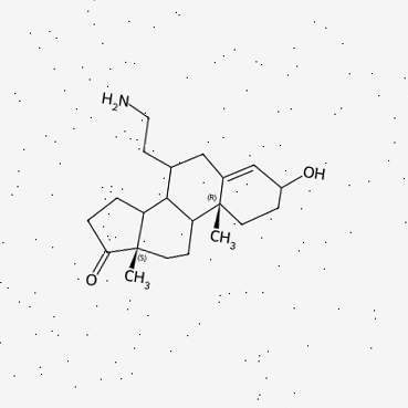 C[C@]12CCC(O)C=C1CC(CCN)C1C2CC[C@]2(C)C(=O)CCC12